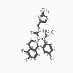 Cc1nc(COC(=O)ON2CCc3c(ccc(F)c3F)[C@H]2c2cc(Cl)ccc2OCC(=O)O)cs1